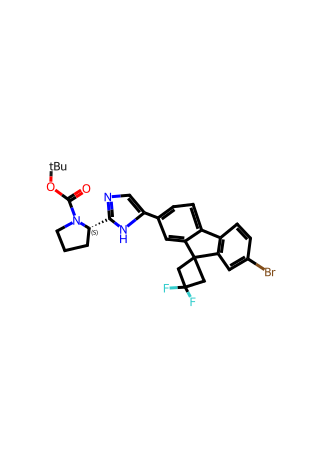 CC(C)(C)OC(=O)N1CCC[C@H]1c1ncc(-c2ccc3c(c2)C2(CC(F)(F)C2)c2cc(Br)ccc2-3)[nH]1